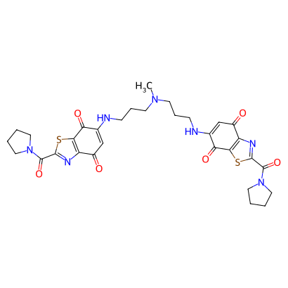 CN(CCCNC1=CC(=O)c2nc(C(=O)N3CCCC3)sc2C1=O)CCCNC1=CC(=O)c2nc(C(=O)N3CCCC3)sc2C1=O